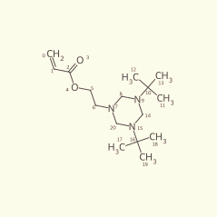 C=CC(=O)OCCN1CN(C(C)(C)C)CN(C(C)(C)C)C1